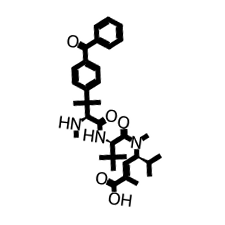 CN[C@H](C(=O)N[C@H](C(=O)N(C)[C@H](/C=C(\C)C(=O)O)C(C)C)C(C)(C)C)C(C)(C)c1ccc(C(=O)c2ccccc2)cc1